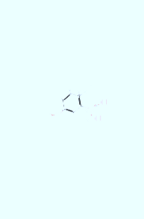 CC(C)Oc1ccc(F)c(B(O)O)c1